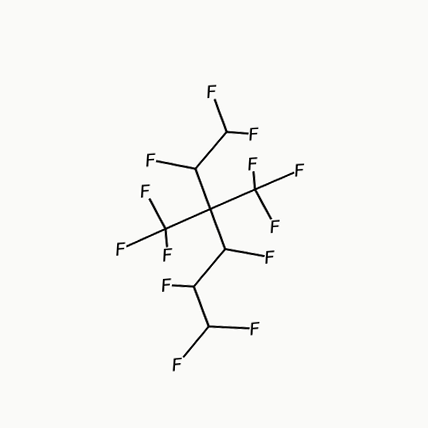 FC(F)C(F)C(F)C(C(F)C(F)F)(C(F)(F)F)C(F)(F)F